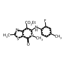 CCOC(=O)c1c(Nc2ccc(C)cc2F)n(C)c(=O)c2sc(C)nc12